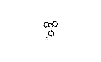 O=[N+]([O-])c1cc(-n2c3ccccc3c3ccccc32)ccc1I